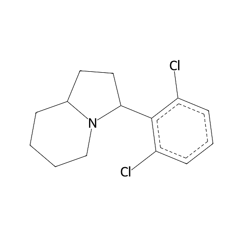 Clc1cccc(Cl)c1C1CCC2CCCCN21